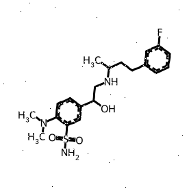 CC(CCc1cccc(F)c1)NCC(O)c1ccc(N(C)C)c(S(N)(=O)=O)c1